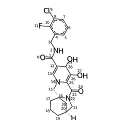 O=C(NCc1cccc(Cl)c1F)C1=CN2C[C@]34CCC[C@H](CN3C(=O)C2=C(O)C1O)C4